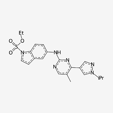 CCOS(=O)(=O)n1ccc2cc(Nc3ncc(C)c(-c4cnn(C(C)C)c4)n3)ccc21